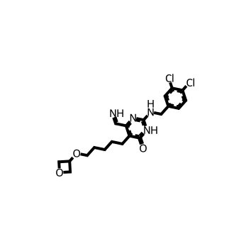 N=Cc1nc(NCc2ccc(Cl)c(Cl)c2)[nH]c(=O)c1CCCCCOC1COC1